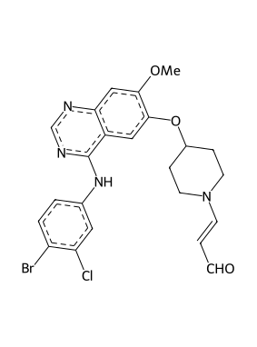 COc1cc2ncnc(Nc3ccc(Br)c(Cl)c3)c2cc1OC1CCN(C=CC=O)CC1